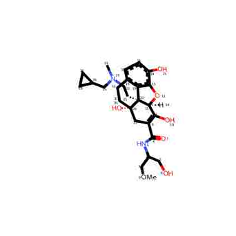 COCC(CO)NC(=O)C1=C(O)[C@@H]2Oc3c(O)ccc4c3[C@]2(CCN(C)CC2CC2)[C@](O)(CC4)C1